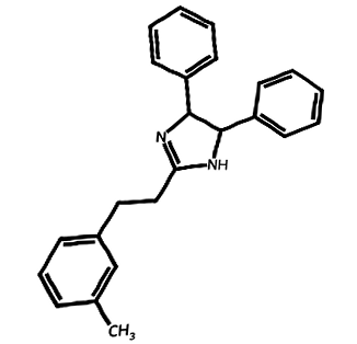 Cc1cccc(CCC2=NC(c3ccccc3)C(c3ccccc3)N2)c1